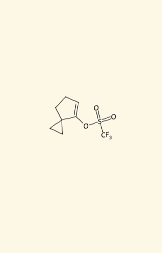 O=S(=O)(OC1=CCCC12CC2)C(F)(F)F